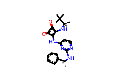 C[C@@H](Nc1nccc(Nc2c(N[C@H](C)C(C)(C)C)c(=O)c2=O)n1)c1ccccc1